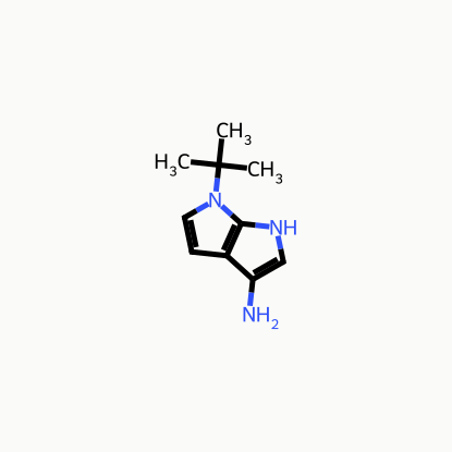 CC(C)(C)n1ccc2c(N)c[nH]c21